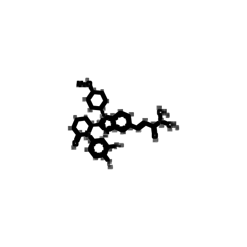 CO[C@H]1CC[C@H](n2c([C@@H]3CCCC(=O)N3c3ccc(F)c(F)c3)nc3cc(/C=C/C(=O)N(C)C)ccc32)CC1